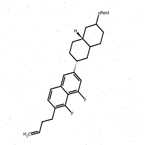 C=CCCc1ccc2cc([C@@H]3CC[C@@H]4CC(CCCCC)CCC4C3)cc(F)c2c1F